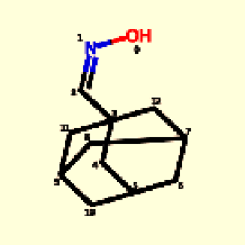 O/N=C\C12CC3CC(CC(C3)C1)C2